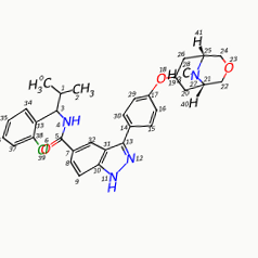 CC(C)C(NC(=O)c1ccc2[nH]nc(-c3ccc(OC4C[C@H]5COC[C@@H](C4)N5C)cc3)c2c1)c1ccccc1Cl